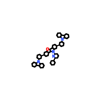 c1ccc(-c2cccc(-n3c4cc(-c5cccc(-n6c7ccccc7c7ccccc76)c5)ccc4c4oc5cc(-c6cccc(-n7c8ccccc8c8ccccc87)c6)ccc5c43)n2)cc1